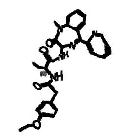 CCOc1ccc(CC(=O)N[C@@H](C)C(=O)NC2N=C(c3ccccn3)c3ccccc3N(C)C2=O)cc1